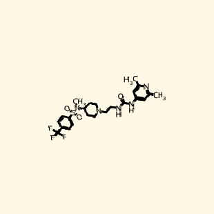 Cc1cc(NC(=O)NCCN2CCC(N(C)S(=O)(=O)c3ccc(C(F)(F)F)cc3)CC2)cc(C)n1